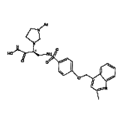 CC(=O)N1CCN([C@@H](CNS(=O)(=O)c2ccc(OCc3cc(C)nc4ccccc34)cc2)C(=O)NO)C1